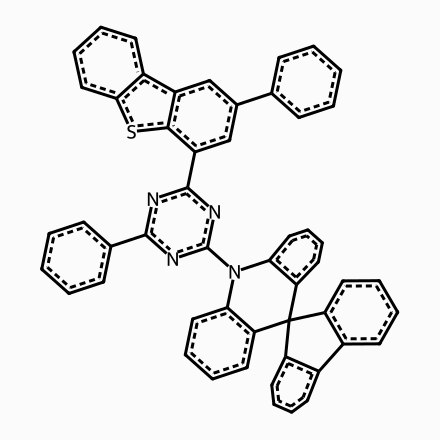 c1ccc(-c2cc(-c3nc(-c4ccccc4)nc(N4c5ccccc5C5(c6ccccc6-c6ccccc65)c5ccccc54)n3)c3sc4ccccc4c3c2)cc1